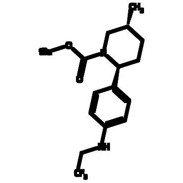 C[C@@H]1CC[C@@H](c2ccc(NCC(F)(F)F)cc2)N(C(=O)OC(C)(C)C)C1